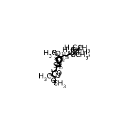 COC(=O)C(C)CC(=O)c1cc2cc(CCCO[Si](C)(C)C(C)(C)C)c(OC)cc2s1